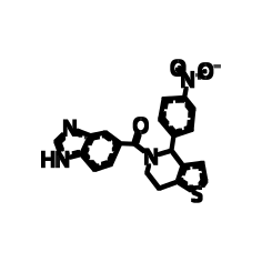 O=C(c1ccc2[nH]cnc2c1)N1CCc2sccc2C1c1ccc([N+](=O)[O-])cc1